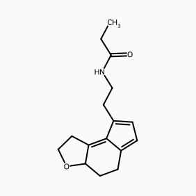 CCC(=O)NCCC1=CC=C2CCC3OCCC3=C12